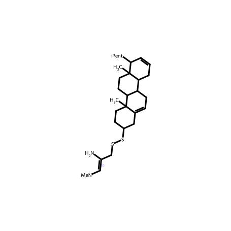 CCCC(C)C1C=CCC2C3CC=C4CC(SSC/C(N)=C/NC)CCC4(C)C3CCC12C